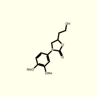 COc1ccc(N2CC(CCO)OC2=O)cc1OC